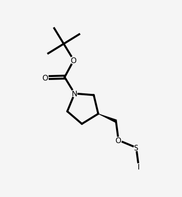 CC(C)(C)OC(=O)N1CC[C@H](COSI)C1